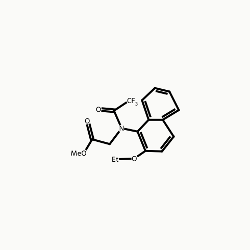 CCOc1ccc2ccccc2c1N(CC(=O)OC)C(=O)C(F)(F)F